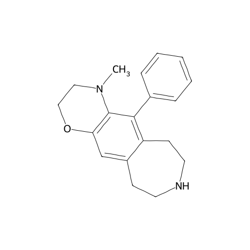 CN1CCOc2cc3c(c(-c4ccccc4)c21)CCNCC3